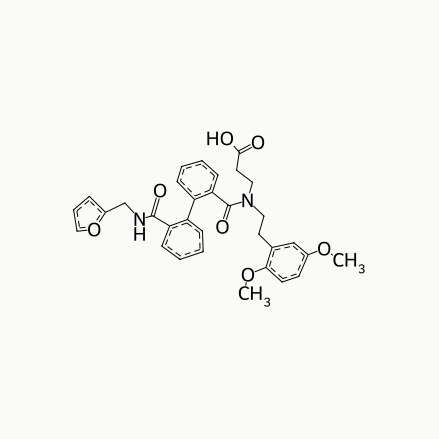 COc1ccc(OC)c(CCN(CCC(=O)O)C(=O)c2ccccc2-c2ccccc2C(=O)NCc2ccco2)c1